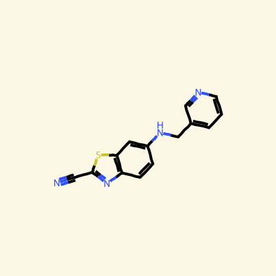 N#Cc1nc2ccc(NCc3cccnc3)cc2s1